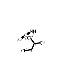 ClCC(Cl)Cl.N=C=O